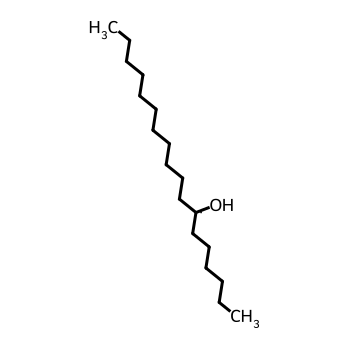 CCCCCCCCCCC[C](O)CCCCCC